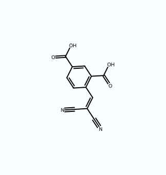 N#CC(C#N)=Cc1ccc(C(=O)O)cc1C(=O)O